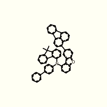 CC1(C)c2ccccc2-c2c(N(c3ccc(-c4ccccc4)cc3)c3cccc4oc5ccc(-c6ccc7c8c(cccc68)-c6ccccc6-7)cc5c34)cccc21